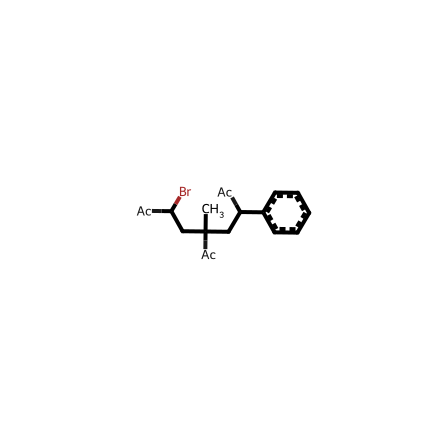 CC(=O)C(Br)CC(C)(CC(C(C)=O)c1ccccc1)C(C)=O